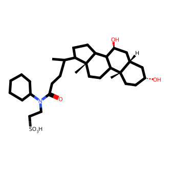 CC(CCC(=O)N(CCS(=O)(=O)O)C1CCCCC1)C1CCC2C3C(CC[C@]12C)[C@@]1(C)CC[C@@H](O)C[C@H]1C[C@@H]3O